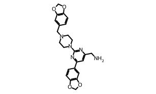 NCc1cc(-c2ccc3c(c2)OCO3)nc(N2CCN(Cc3ccc4c(c3)OCO4)CC2)n1